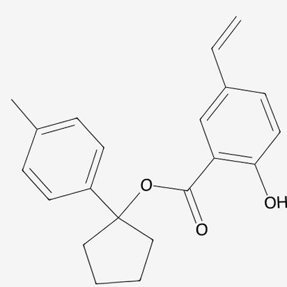 C=Cc1ccc(O)c(C(=O)OC2(c3ccc(C)cc3)CCCC2)c1